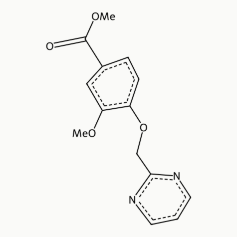 COC(=O)c1ccc(OCc2ncccn2)c(OC)c1